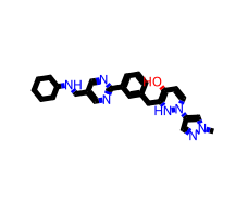 Cn1cc(N2C=CC(O)=C(Cc3cccc(-c4ncc(CNC5CCCCC5)cn4)c3)N2)cn1